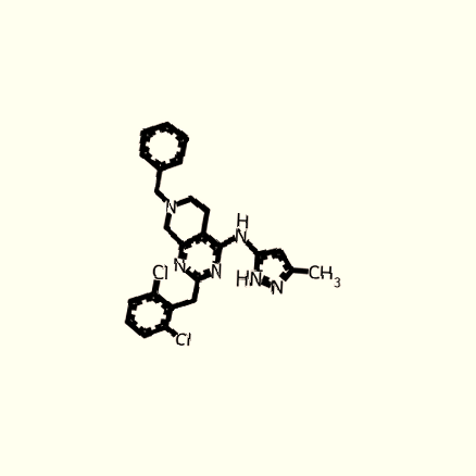 Cc1cc(Nc2nc(Cc3c(Cl)cccc3Cl)nc3c2CCN(Cc2ccccc2)C3)[nH]n1